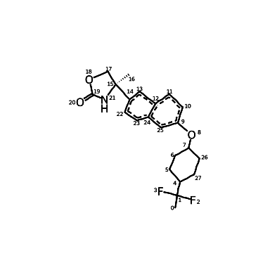 CC(F)(F)C1CCC(Oc2ccc3cc([C@]4(C)COC(=O)N4)ccc3c2)CC1